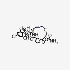 Cc1cc(Cl)cc(Cl)c1S(=O)(=O)NC(=O)C12CC1/C=C/CCCCCC(OC(N)=O)C(=O)N1CCCC1C(=O)N2